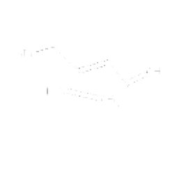 C=C.C=CC=CCCCC